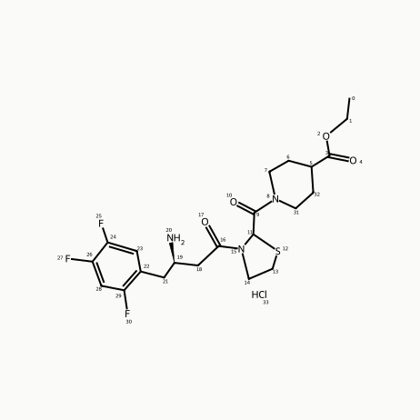 CCOC(=O)C1CCN(C(=O)C2SCCN2C(=O)C[C@H](N)Cc2cc(F)c(F)cc2F)CC1.Cl